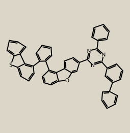 c1ccc(-c2cccc(-c3nc(-c4ccccc4)nc(-c4ccc5c(c4)oc4cccc(-c6ccccc6-c6cccc7sc8ccccc8c67)c45)n3)c2)cc1